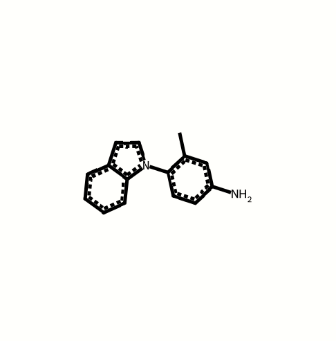 Cc1cc(N)ccc1-n1ccc2ccccc21